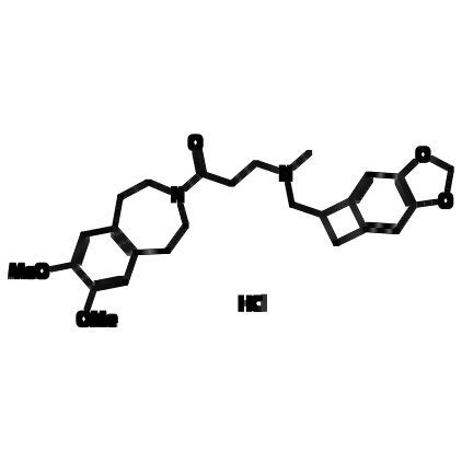 COc1cc2c(cc1OC)CCN(C(=O)CCN(C)CC1Cc3cc4c(cc31)OCO4)CC2.Cl